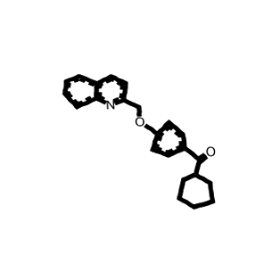 O=C(c1ccc(OCc2ccc3ccccc3n2)cc1)C1CCCCC1